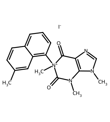 Cc1ccc2cccc([N+]3(C)C(=O)c4ncn(C)c4N(C)C3=O)c2c1.[I-]